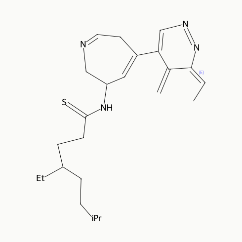 C=c1c(C2=CC(NC(=S)CCC(CC)CCC(C)C)CN=CC2)cnn/c1=C/C